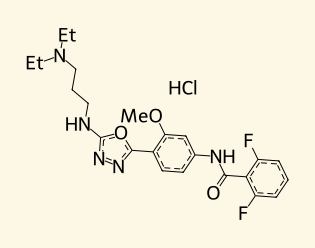 CCN(CC)CCCNc1nnc(-c2ccc(NC(=O)c3c(F)cccc3F)cc2OC)o1.Cl